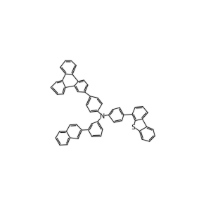 c1cc(-c2ccc3ccccc3c2)cc(N(c2ccc(-c3ccc4c5ccccc5c5ccccc5c4c3)cc2)c2ccc(-c3cccc4c3sc3ccccc34)cc2)c1